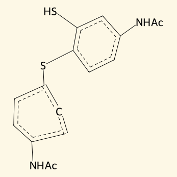 CC(=O)Nc1ccc(Sc2ccc(NC(C)=O)cc2S)cc1